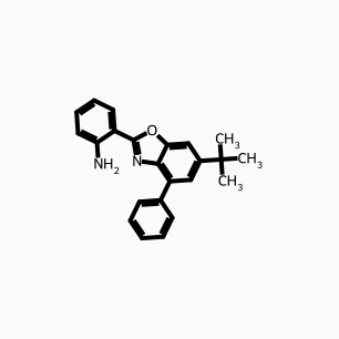 CC(C)(C)c1cc(-c2ccccc2)c2nc(-c3ccccc3N)oc2c1